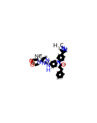 Cn1cc(-c2ccc(N(C(=O)CCc3ccccc3)[C@H]3CC[C@H](Nc4ncc(C#N)c(N5CCS(=O)(=O)CC5)n4)CC3)cc2)cn1